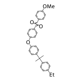 CCc1ccc(C(C)(C)c2ccc(Oc3ccc(S(=O)(=O)c4ccc(OC)cc4)cc3)cc2)cc1